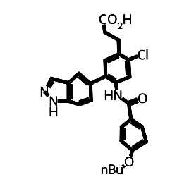 CCCCOc1ccc(C(=O)Nc2cc(Cl)c(CCC(=O)O)cc2-c2ccc3[nH]ncc3c2)cc1